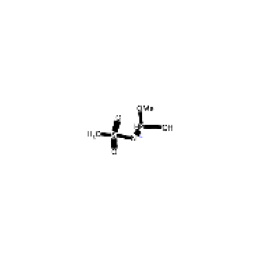 CO/[PH](O)=N\S(C)(=O)=O